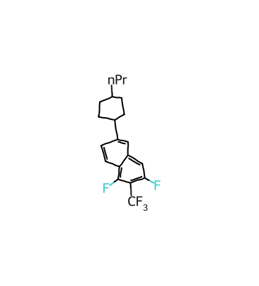 CCCC1CCC(c2ccc3c(F)c(C(F)(F)F)c(F)cc3c2)CC1